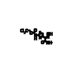 [NH]C(=O)/C(=N/O)c1csc(NC(=O)OCC(Cl)(Cl)Cl)n1